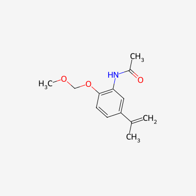 C=C(C)c1ccc(OCOC)c(NC(C)=O)c1